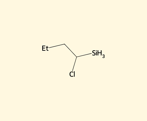 CCCC([SiH3])Cl